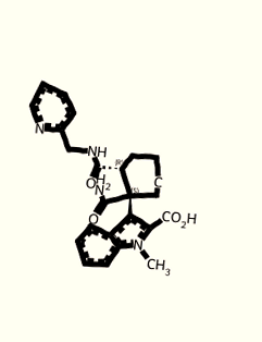 Cn1c(C(=O)O)c([C@]2(C(N)=O)CCCC[C@H]2C(=O)NCc2ccccn2)c2ccccc21